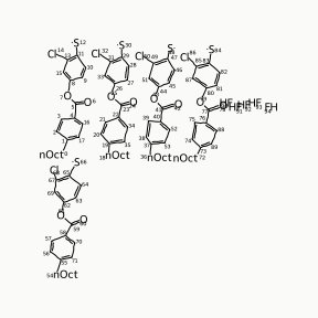 CCCCCCCCc1ccc(C(=O)Oc2ccc([S])c(Cl)c2)cc1.CCCCCCCCc1ccc(C(=O)Oc2ccc([S])c(Cl)c2)cc1.CCCCCCCCc1ccc(C(=O)Oc2ccc([S])c(Cl)c2)cc1.CCCCCCCCc1ccc(C(=O)Oc2ccc([S])c(Cl)c2)cc1.CCCCCCCCc1ccc(C(=O)Oc2ccc([S])c(Cl)c2)cc1.F.F.F.F.F